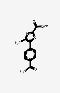 COC(=O)c1nc(C)c(-c2ccc(C(N)=O)cc2)s1